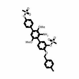 COc1cc(-c2ccc(OS(C)(=O)=O)cc2)c(OC)c(N)c1-c1ccc(OCc2ccc(C)cc2)c(OS(C)(=O)=O)c1